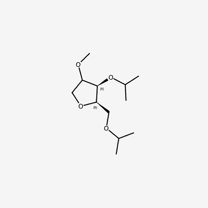 COC1CO[C@H](COC(C)C)[C@@H]1OC(C)C